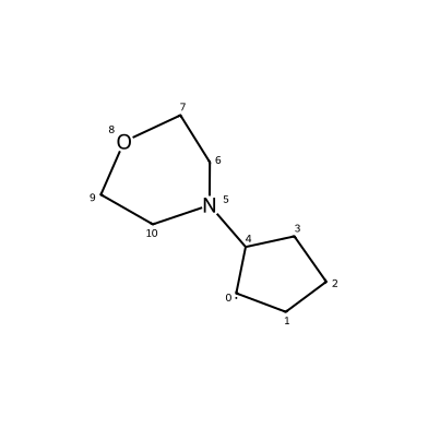 [CH]1CCCC1N1CCOCC1